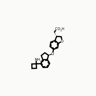 NC1(c2cccc3c2CC[C@H]3Oc2ccc3c(c2)OC[C@H]3CC(=O)O)CCC1